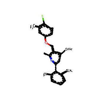 CCc1cccc(CC)c1-c1cc(OC)c(COc2ccc(F)c(C(F)(F)F)c2)c(C)n1